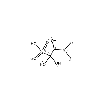 CN(C)C(O)C(O)(O)S(=O)(=O)O